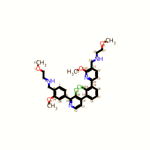 COCCNCc1ccc(-c2nccc(-c3cccc(-c4ccc(CNCCOC)c(OC)n4)c3Cl)c2Cl)cc1OC